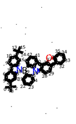 CC(C)(C)c1ccc2c3ccc(C(C)(C)C)cc3n(B3c4ccccc4-n4c5ccc6c7ccccc7oc6c5c5cccc3c54)c2c1